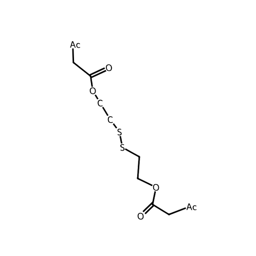 CC(=O)CC(=O)OCCSSCCOC(=O)CC(C)=O